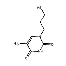 Cc1cn(CCCS)c(=O)[nH]c1=O